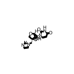 O=c1ccn([C@@H]2O[C@@]3(Cn4ccnn4)CO[C@@H]2[C@@H]3O)c(=O)[nH]1